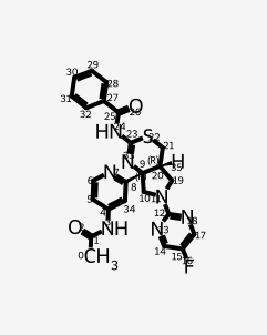 CC(=O)Nc1ccnc([C@]23CN(c4ncc(F)cn4)C[C@H]2CSC(NC(=O)c2ccccc2)=N3)c1